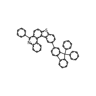 c1ccc(-c2nc3ccccc3c3c2ccc2sc4ccc(-c5ccc6c(c5)C(c5ccccc5)(c5ccccc5)c5ccccc5-6)cc4c23)cc1